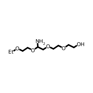 CCOCCOC(N)COCCOCCO